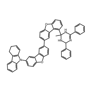 CC1(c2cccc3oc4ccc(-c5ccc6oc7ccc(-n8c9c(c%10ccccc%108)CCC=C9)cc7c6c5)cc4c23)NC(c2ccccc2)=NC(c2ccccc2)N1